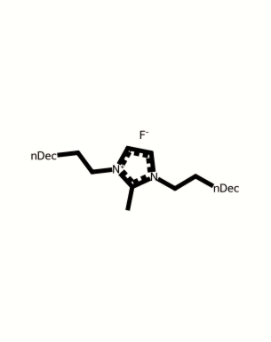 CCCCCCCCCCCCn1cc[n+](CCCCCCCCCCCC)c1C.[F-]